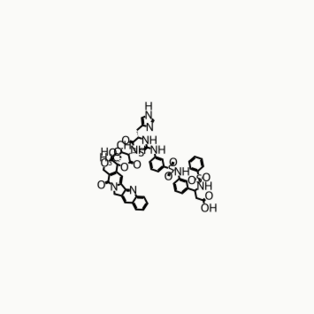 CC[C@@]1(OC(=O)[C@@H](NC(=O)[C@H](Cc2c[nH]cn2)NC(=S)Nc2cccc(S(=O)(=O)Nc3cccc(C(CC(=O)O)NS(=O)(=O)c4ccccc4)c3)c2)C(C)C)C(=O)OCc2c1cc1n(c2=O)Cc2cc3ccccc3nc2-1